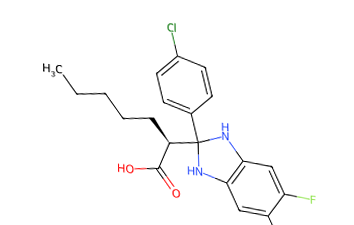 CCCCC[C@H](C(=O)O)C1(c2ccc(Cl)cc2)Nc2cc(F)c(Cl)cc2N1